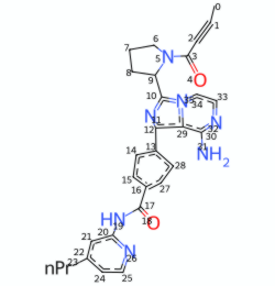 CC#CC(=O)N1CCCC1c1nc(-c2ccc(C(=O)Nc3cc(CCC)ccn3)cc2)c2c(N)nccn12